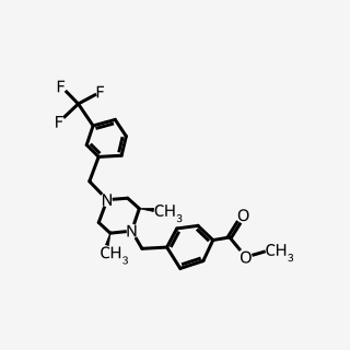 COC(=O)c1ccc(CN2[C@H](C)CN(Cc3cccc(C(F)(F)F)c3)C[C@@H]2C)cc1